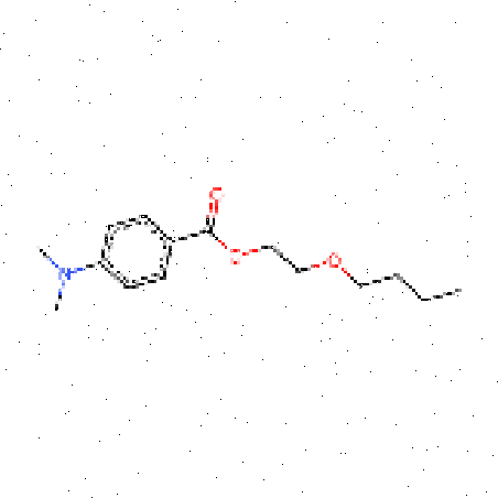 CCCCOCCOC(=O)c1ccc(N(C)C)cc1